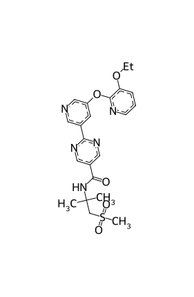 CCOc1cccnc1Oc1cncc(-c2ncc(C(=O)NC(C)(C)CS(C)(=O)=O)cn2)c1